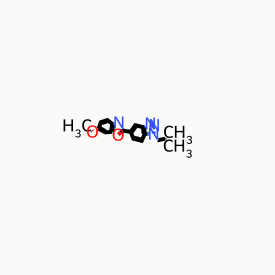 COc1ccc2nc(-c3ccc4c(c3)nnn4CC(C)C)oc2c1